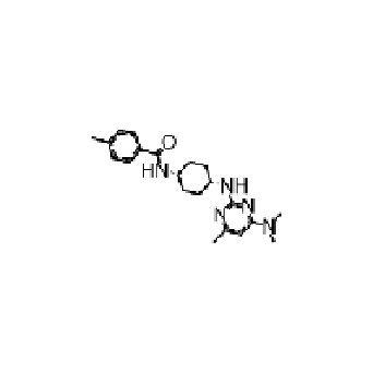 Cc1ccc(C(=O)N[C@H]2CC[C@@H](Nc3nc(C)cc(N(C)C)n3)CC2)cc1